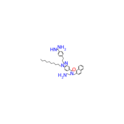 CCCCCCCCCCn1c(CCc2ccc(C(=N)N)cc2)nc2cc(C(=O)N(CCN)Cc3ccc4ccccc4c3)ccc21